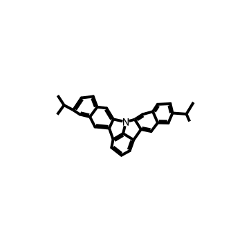 CC(C)c1ccc2cc3c(cc2c1)c1cccc2c4cc5cc(C(C)C)ccc5cc4n3c12